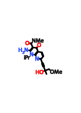 CNC(=O)c1c(N)n(C(C)C)c2nc(C#CC(C)(O)COC)ccc2c1=O